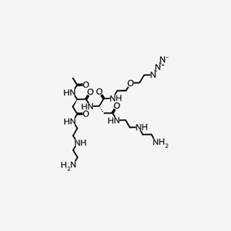 CC(=O)N[C@H](CC(=O)NCCNCCN)C(=O)N[C@@H](CC(=O)NCCNCCN)C(=O)NCCOCCN=[N+]=[N-]